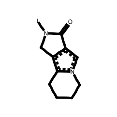 O=C1c2cn3c(c2CN1I)CCCC3